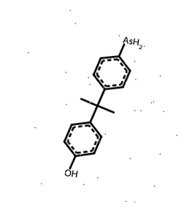 CC(C)(c1ccc(O)cc1)c1ccc([AsH2])cc1